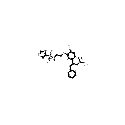 CN(C)CC(Cc1ccccc1)c1ccc(F)c(OCCNS(=O)(=O)c2c[nH]cn2)c1